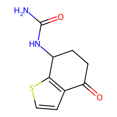 NC(=O)NC1CCC(=O)c2ccsc21